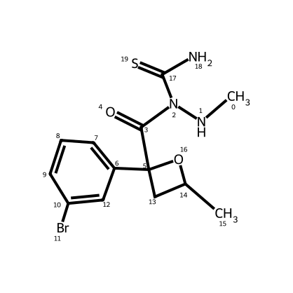 CNN(C(=O)C1(c2cccc(Br)c2)CC(C)O1)C(N)=S